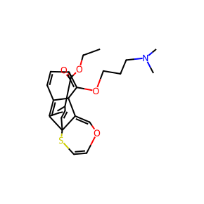 CCOC(=O)C1=CC2=C3C=CC=C(OCCCN(C)C)C3C3=COC=CSC32C=C1